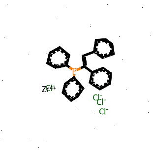 C(=C(c1ccccc1)P(c1ccccc1)c1ccccc1)c1ccccc1.[Cl-].[Cl-].[Cl-].[Cl-].[Zr+4]